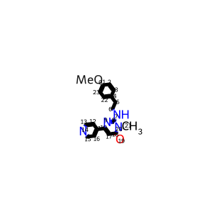 COc1ccc(CCNc2nc(-c3ccncc3)cc(=O)n2C)cc1